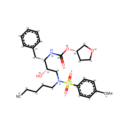 COc1ccc(S(=O)(=O)N(CCCCC#N)C[C@H](O)[C@H](Cc2ccccc2)NC(=O)O[C@H]2CCOC2)cc1